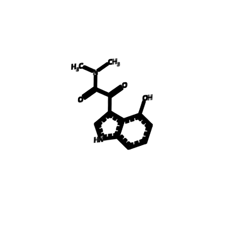 CN(C)C(=O)C(=O)c1c[nH]c2cccc(O)c12